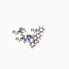 COc1cc(-c2ccccc2C)ccc1C(=O)N1Cc2ccc(C(=O)N(C)CCCN(C)C)n2Cc2ccccc21